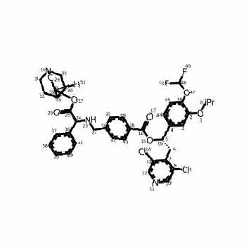 CC(C)Oc1cc([C@H](Cc2c(Cl)cncc2Cl)OC(=O)c2ccc(CNC(C(=O)O[C@H]3CN4CCC3CC4)c3ccccc3)cc2)ccc1OC(F)F